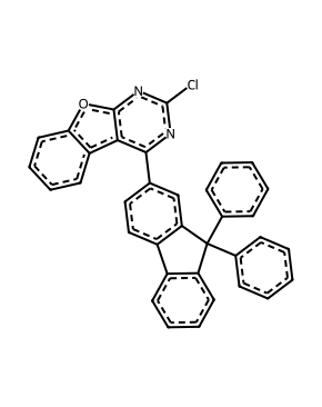 Clc1nc(-c2ccc3c(c2)C(c2ccccc2)(c2ccccc2)c2ccccc2-3)c2c(n1)oc1ccccc12